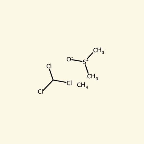 C.C[S+](C)[O-].ClC(Cl)Cl